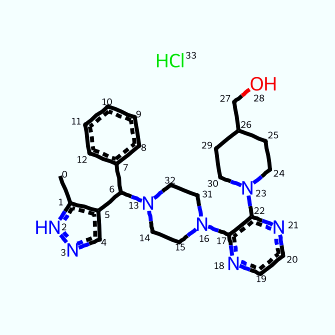 Cc1[nH]ncc1C(c1ccccc1)N1CCN(c2nccnc2N2CCC(CO)CC2)CC1.Cl